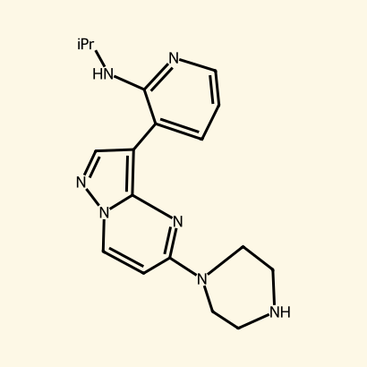 CC(C)Nc1ncccc1-c1cnn2ccc(N3CCNCC3)nc12